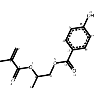 C=C(C)C(=O)OC(C)COC(=O)c1ccc(O)cc1